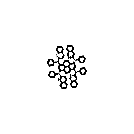 c1ccc(N(c2cc3ccccc3cn2)c2cc(N(c3ccccc3)c3cc4ccccc4cn3)c3ccc4c(N(c5ccccc5)c5ccc6ccccc6n5)cc(N(c5ccccc5)c5ccc6ccccc6n5)c5ccc2c3c54)cc1